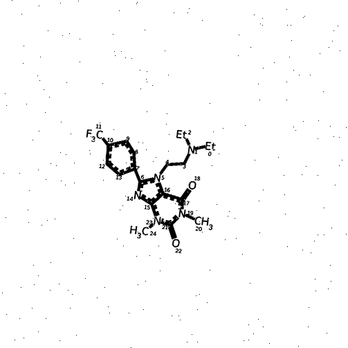 CCN(CC)CCn1c(-c2ccc(C(F)(F)F)cc2)nc2c1c(=O)n(C)c(=O)n2C